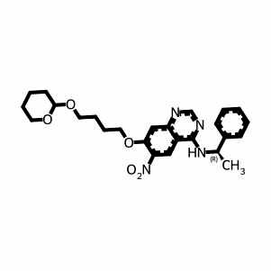 C[C@@H](Nc1ncnc2cc(OCCCCOC3CCCCO3)c([N+](=O)[O-])cc12)c1ccccc1